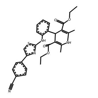 CCOC(=O)C1=C(C)NC(C)=C(C(=O)OCC)C1c1ccccc1Nc1nc(-c2ccc(C#N)cc2)cs1